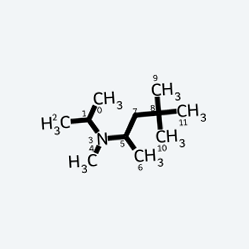 CC(C)N(C)C(C)CC(C)(C)C